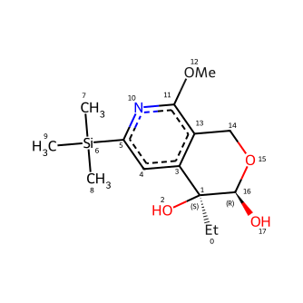 CC[C@]1(O)c2cc([Si](C)(C)C)nc(OC)c2CO[C@H]1O